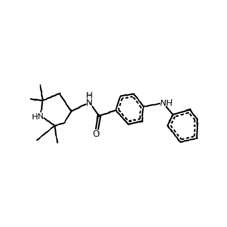 CC1(C)CC(NC(=O)c2ccc(Nc3ccccc3)cc2)CC(C)(C)N1